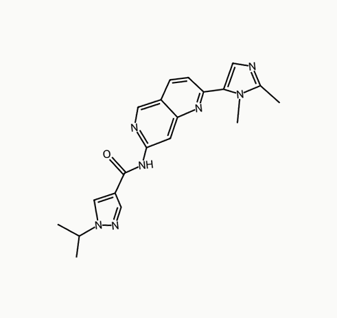 Cc1ncc(-c2ccc3cnc(NC(=O)c4cnn(C(C)C)c4)cc3n2)n1C